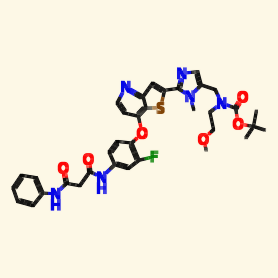 COCCN(Cc1cnc(-c2cc3nccc(Oc4ccc(NC(=O)CC(=O)Nc5ccccc5)cc4F)c3s2)n1C)C(=O)OC(C)(C)C